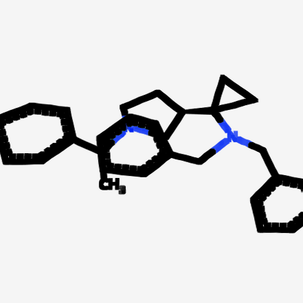 CC(c1ccccc1)N1CC[C@@H](C2(N(Cc3ccccc3)Cc3ccccc3)CC2)C1